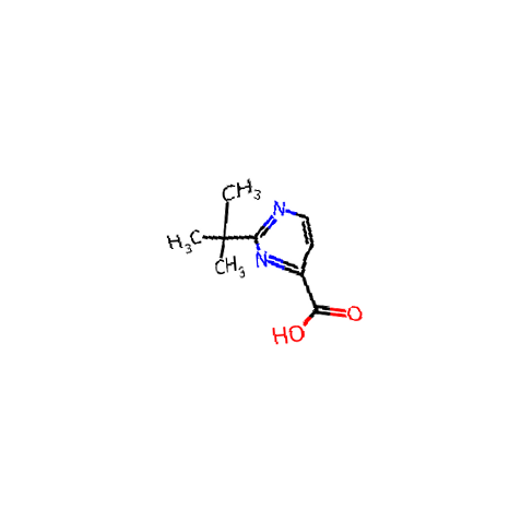 CC(C)(C)c1nccc(C(=O)O)n1